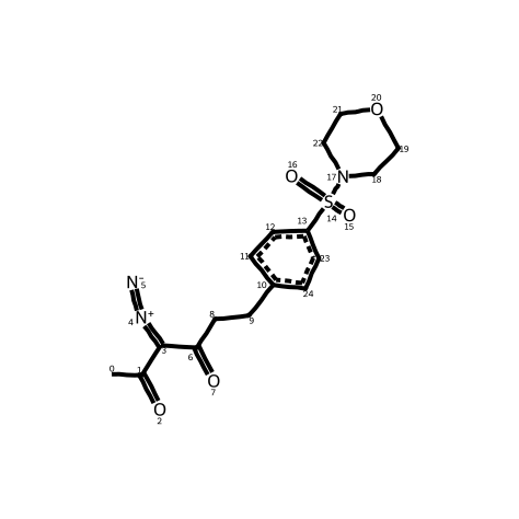 CC(=O)C(=[N+]=[N-])C(=O)CCc1ccc(S(=O)(=O)N2CCOCC2)cc1